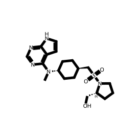 CN(c1ncnc2[nH]ccc12)[C@H]1CC[C@H](CS(=O)(=O)N2CCC[C@@H]2CO)CC1